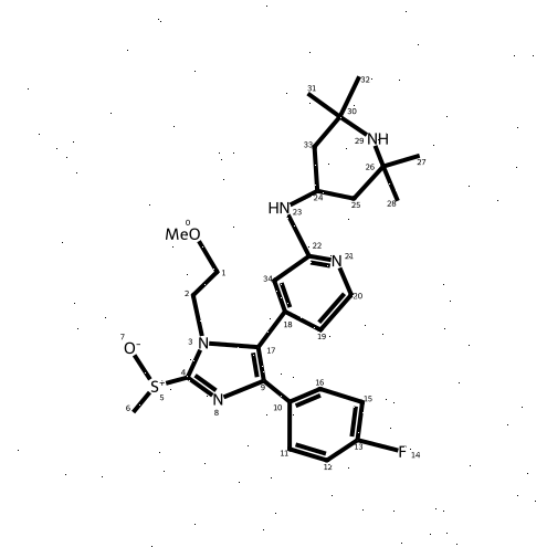 COCCn1c([S+](C)[O-])nc(-c2ccc(F)cc2)c1-c1ccnc(NC2CC(C)(C)NC(C)(C)C2)c1